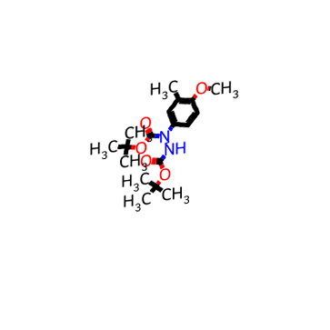 COc1ccc(N(NC(=O)OC(C)(C)C)C(=O)OC(C)(C)C)cc1C